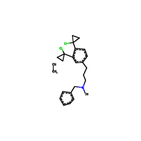 CC#N.CC(C)N(CCCc1ccc(C2(Cl)CC2)c(C2(Cl)CC2)c1)Cc1ccccc1